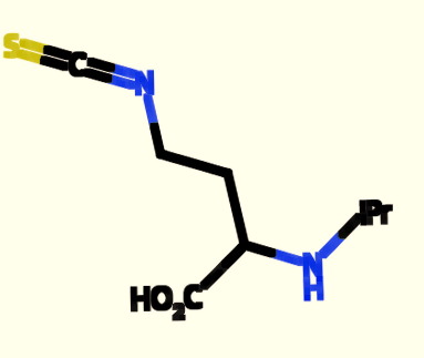 CC(C)NC(CCN=C=S)C(=O)O